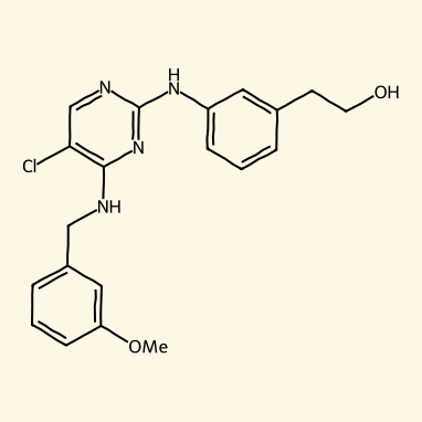 COc1cccc(CNc2nc(Nc3cccc(CCO)c3)ncc2Cl)c1